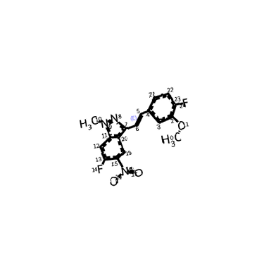 COc1cc(/C=C/c2nn(C)c3cc(F)c([N+](=O)[O-])cc23)ccc1F